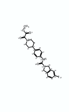 COC(=O)C(=O)N1CCC(c2ccc(NC(=O)N3Cc4ccc(F)cc4C3)cc2)CC1